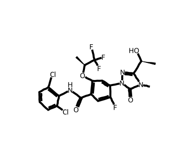 C[C@H](O)c1nn(-c2cc(O[C@@H](C)C(F)(F)F)c(C(=O)Nc3c(Cl)cccc3Cl)cc2F)c(=O)n1C